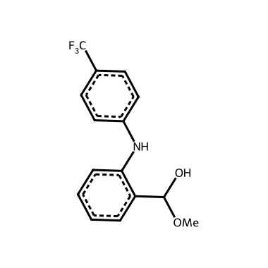 COC(O)c1ccccc1Nc1ccc(C(F)(F)F)cc1